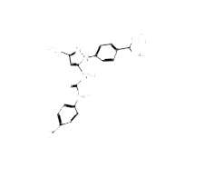 CC(C)(C)c1cc(NC(=O)Nc2ccc(Cl)cc2)n(-c2ccc(C(O)C(F)(F)F)cc2)n1